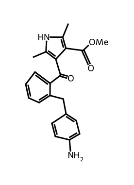 COC(=O)c1c(C)[nH]c(C)c1C(=O)c1ccccc1Cc1ccc(N)cc1